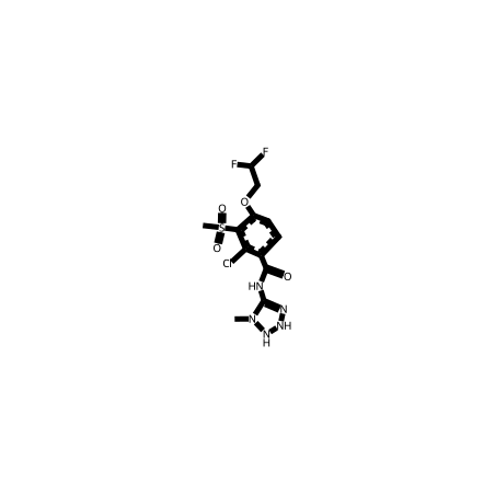 CN1NNN=C1NC(=O)c1ccc(OCC(F)F)c(S(C)(=O)=O)c1Cl